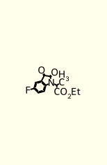 CCOC(=O)C(C)N1C(=O)C(=O)c2cc(F)ccc21